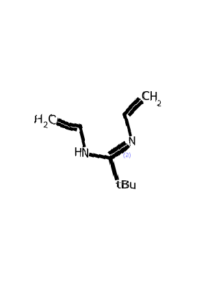 C=C/N=C(\NC=C)C(C)(C)C